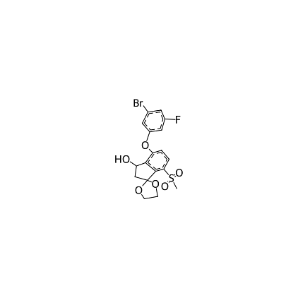 CS(=O)(=O)c1ccc(Oc2cc(F)cc(Br)c2)c2c1C1(CC2O)OCCO1